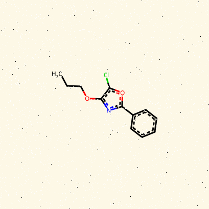 CCCOc1nc(-c2ccccc2)oc1Cl